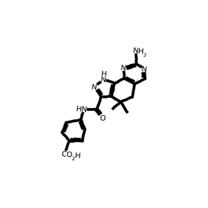 CC1(C)Cc2cnc(N)nc2-c2[nH]nc(C(=O)Nc3ccc(C(=O)O)cc3)c21